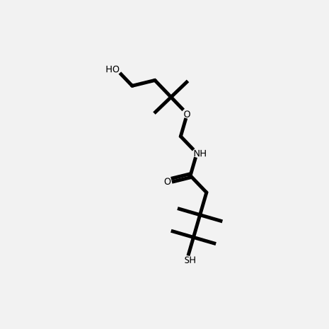 CC(C)(CCO)OCNC(=O)CC(C)(C)C(C)(C)S